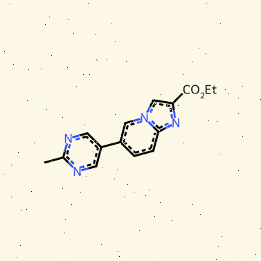 CCOC(=O)c1cn2cc(-c3cnc(C)nc3)ccc2n1